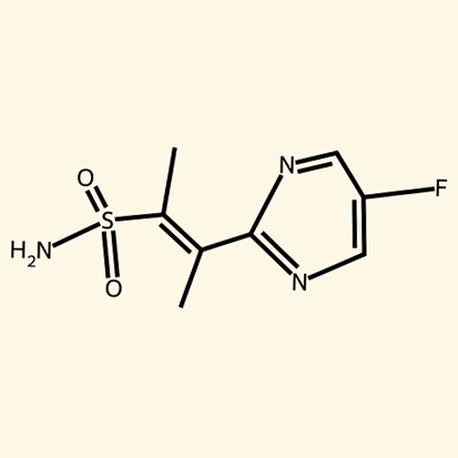 C/C(=C(/C)S(N)(=O)=O)c1ncc(F)cn1